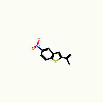 C=C(C)c1cc2cc([N+](=O)[O-])ccc2s1